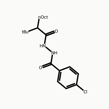 CCCCCCCCC(C(=O)NNC(=O)c1ccc(Cl)cc1)C(C)(C)C